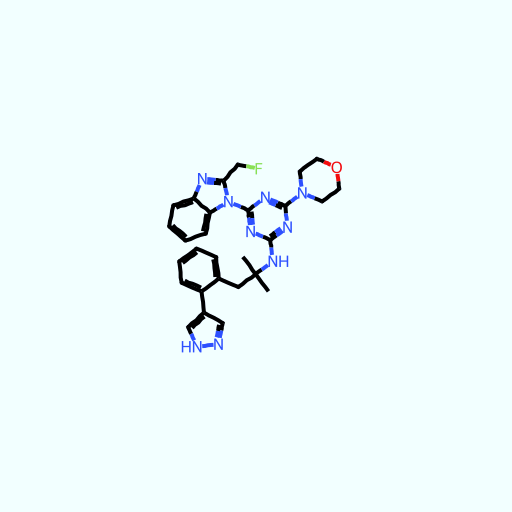 CC(C)(Cc1ccccc1-c1cn[nH]c1)Nc1nc(N2CCOCC2)nc(-n2c(CF)nc3ccccc32)n1